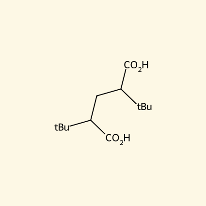 CC(C)(C)C(CC(C(=O)O)C(C)(C)C)C(=O)O